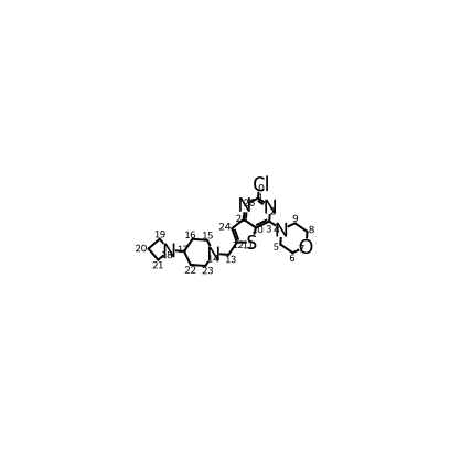 Clc1nc(N2CCOCC2)c2sc(CN3CCC(N4CCC4)CC3)cc2n1